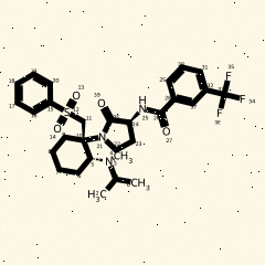 CC(C)N(C)[C@@H]1CCCC[C@]1(CS(=O)(=O)c1ccccc1)N1CC[C@H](NC(=O)c2cccc(C(F)(F)F)c2)C1=O